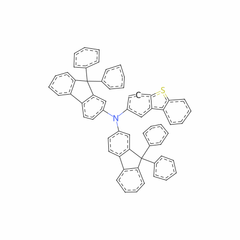 c1ccc(C2(c3ccccc3)c3ccccc3-c3ccc(N(c4ccc5c(c4)C(c4ccccc4)(c4ccccc4)c4ccccc4-5)c4ccc5sc6ccccc6c5c4)cc32)cc1